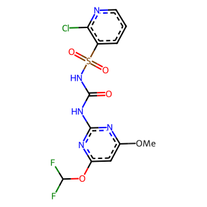 COc1cc(OC(F)F)nc(NC(=O)NS(=O)(=O)c2cccnc2Cl)n1